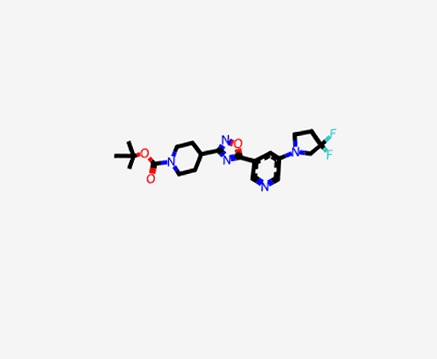 CC(C)(C)OC(=O)N1CCC(c2noc(-c3cncc(N4CCC(F)(F)C4)c3)n2)CC1